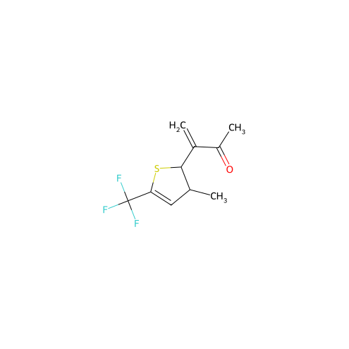 C=C(C(C)=O)C1SC(C(F)(F)F)=CC1C